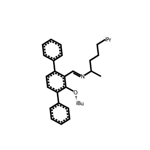 CC[C@@H](C)Oc1c(-c2ccccc2)ccc(-c2ccccc2)c1/C=N/C(C)CCCC(C)C